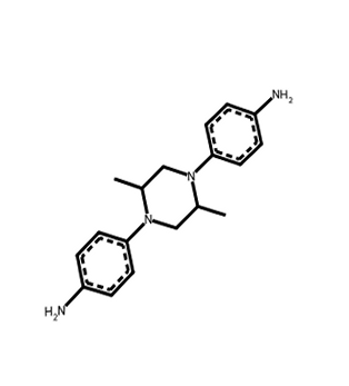 CC1CN(c2ccc(N)cc2)C(C)CN1c1ccc(N)cc1